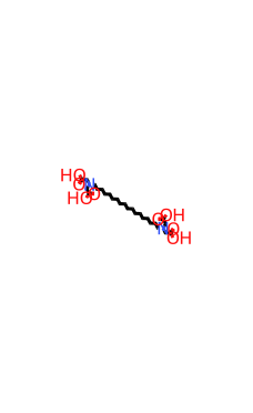 O=C(O)CN(CCCCCCCCCCCCCCCCCCN(CC(=O)O)CC(=O)O)CC(=O)O